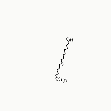 O=C(O)CCCCCSCCCCCCCCO